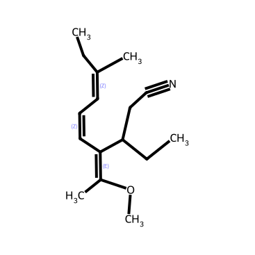 CC\C(C)=C/C=C\C(=C(/C)OC)C(CC)CC#N